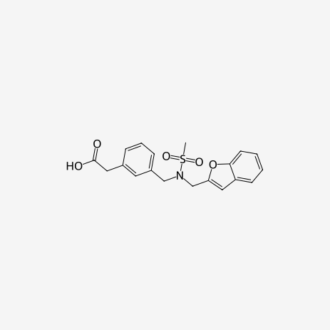 CS(=O)(=O)N(Cc1cccc(CC(=O)O)c1)Cc1cc2ccccc2o1